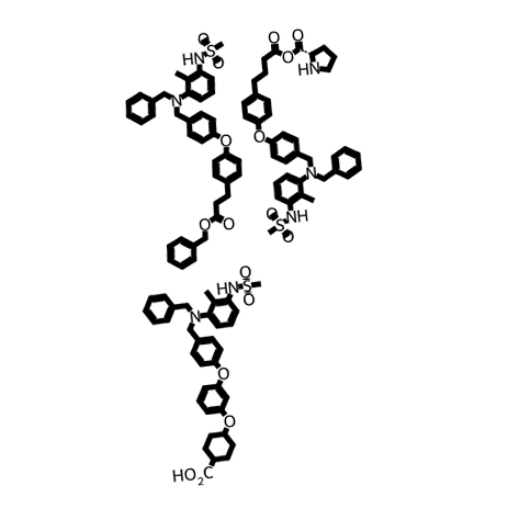 Cc1c(NS(C)(=O)=O)cccc1N(Cc1ccccc1)Cc1ccc(Oc2ccc(CCC(=O)OCc3ccccc3)cc2)cc1.Cc1c(NS(C)(=O)=O)cccc1N(Cc1ccccc1)Cc1ccc(Oc2ccc(CCCC(=O)OC(=O)[C@@H]3CCCN3)cc2)cc1.Cc1c(NS(C)(=O)=O)cccc1N(Cc1ccccc1)Cc1ccc(Oc2cccc(OC3CCC(C(=O)O)CC3)c2)cc1